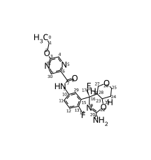 CCOc1cnc(C(=O)Nc2ccc(F)c([C@@]3(CF)N=C(N)O[C@@H]4CCOC[C@@H]43)c2)cn1